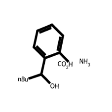 CCCCC(O)c1ccccc1C(=O)O.N